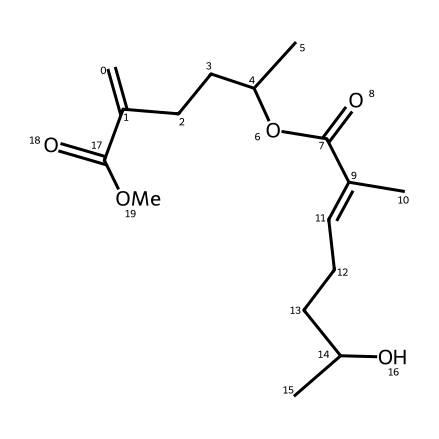 C=C(CCC(C)OC(=O)C(C)=CCCC(C)O)C(=O)OC